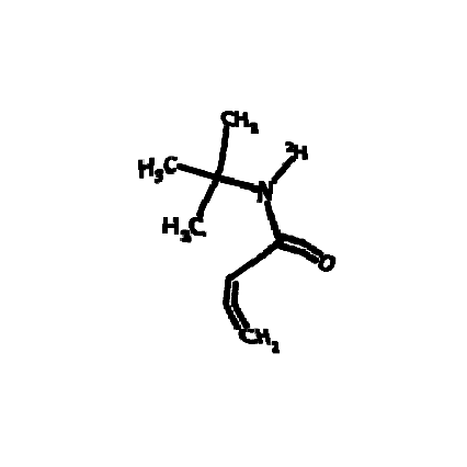 [2H]N(C(=O)C=C)C(C)(C)C